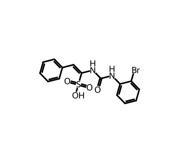 O=C(NC(=Cc1ccccc1)S(=O)(=O)O)Nc1ccccc1Br